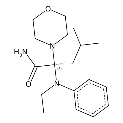 CCN(c1ccccc1)[C@@](CC(C)C)(C(N)=O)N1CCOCC1